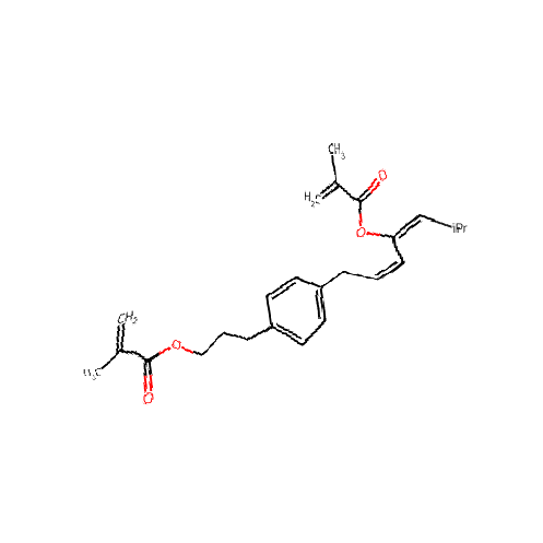 C=C(C)C(=O)OCCCc1ccc(C/C=C\C(=C/C(C)C)OC(=O)C(=C)C)cc1